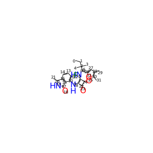 CCC(C)(C)[C@@H](Nc1c(Nc2c(F)ccc3c2C(=O)NC3C)c(=O)c1=O)c1cc(C)c(C)o1